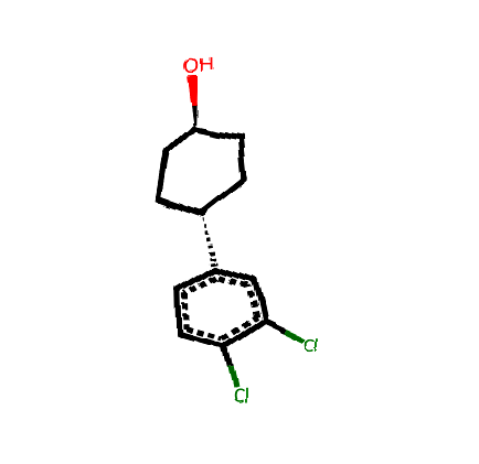 O[C@H]1CC[C@H](c2ccc(Cl)c(Cl)c2)CC1